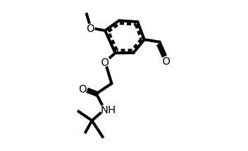 COc1ccc(C=O)cc1OCC(=O)NC(C)(C)C